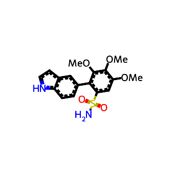 COc1cc(S(N)(=O)=O)c(-c2ccc3[nH]ccc3c2)c(OC)c1OC